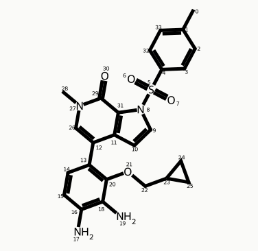 Cc1ccc(S(=O)(=O)n2ccc3c(-c4ccc(N)c(N)c4OCC4CC4)cn(C)c(=O)c32)cc1